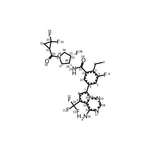 CCc1c(F)cc(-c2cc(C(F)(F)F)c3c(N)ncnn23)cc1C(=O)N[C@@H]1CN(C(=O)C2CC2(F)F)C[C@@H]1F